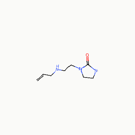 C=CCNCCN1CC[N]C1=O